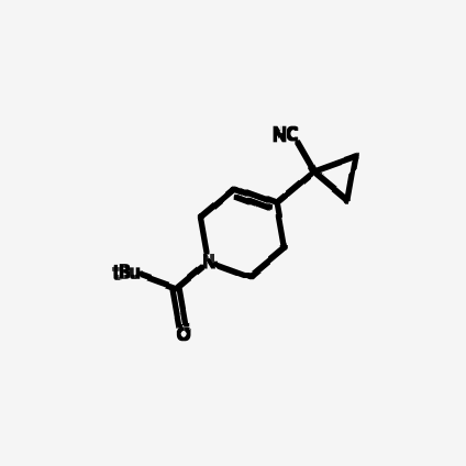 CC(C)(C)C(=O)N1CC=C(C2(C#N)CC2)CC1